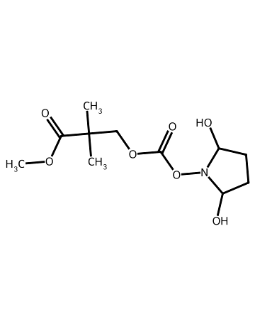 COC(=O)C(C)(C)COC(=O)ON1C(O)CCC1O